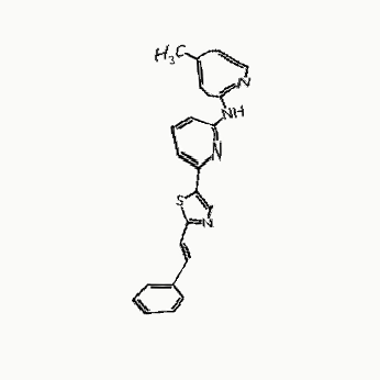 Cc1ccnc(Nc2cccc(-c3cnc(/C=C/c4ccccc4)s3)n2)c1